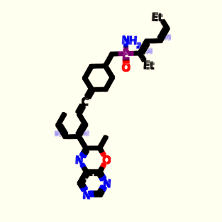 C/C=C\C(=C/C=C=C1CCC(CP(N)(=O)/C(=C/C=C\CC)CC)CC1)C1=Nc2cncnc2OC1C